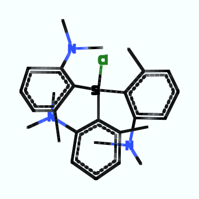 Cc1cccc(N(C)C)c1[Si](Cl)(c1c(C)cccc1N(C)C)c1c(C)cccc1N(C)C